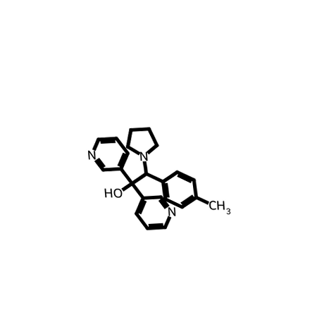 Cc1ccc(C(N2CCCC2)C(O)(c2cccnc2)c2cccnc2)cc1